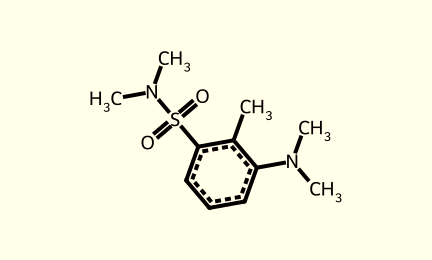 Cc1c(N(C)C)cccc1S(=O)(=O)N(C)C